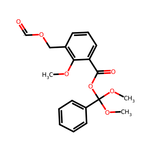 COc1c(CO[C]=O)cccc1C(=O)OC(OC)(OC)c1ccccc1